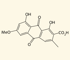 COc1cc(O)c2c(c1)C(=O)c1cc(C)c(C(=O)O)c(O)c1C2=O